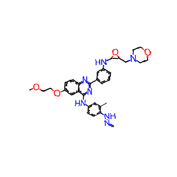 C=NNc1ccc(Nc2nc(-c3cccc(NC4OC4CN4CCOCC4)c3)nc3ccc(OCCOC)cc23)cc1C